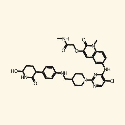 CNC(=O)COc1cc2cc(Nc3nc(N4CCC(CNc5ccc(C6CCC(O)NC6=O)cc5)CC4)ncc3Cl)ccc2n(C)c1=O